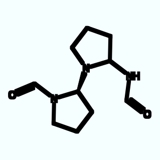 O=CNC1CCCN1[C@H]1CCCN1C=O